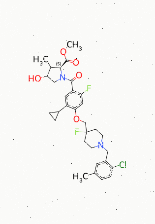 COC(=O)[C@@H]1C(C)C(O)CN1C(=O)c1cc(C2CC2)c(OCC2(F)CCN(Cc3cc(C)ccc3Cl)CC2)cc1F